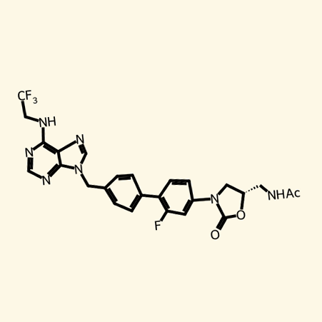 CC(=O)NC[C@H]1CN(c2ccc(-c3ccc(Cn4cnc5c(NCC(F)(F)F)ncnc54)cc3)c(F)c2)C(=O)O1